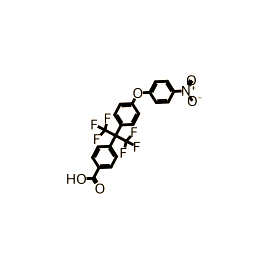 O=C(O)c1ccc(C(c2ccc(Oc3ccc([N+](=O)[O-])cc3)cc2)(C(F)(F)F)C(F)(F)F)cc1